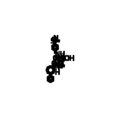 Cc1ncsc1-c1ccc(CNC(=O)C2CC(O)CN2C(=O)C(NC(=O)C2CCCCC(c3ccccc3)CC2)C(C)(C)C)cc1